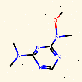 CON(C)c1ncnc(N(C)C)n1